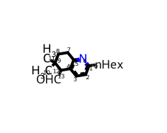 CCCCCCc1ccc2c(n1)CCC(C)(C)C2C=O